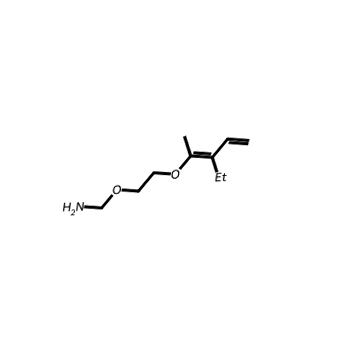 C=C/C(CC)=C(\C)OCCOCN